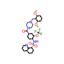 COc1cccc(OC)c1CN1CCN(C(=O)c2ccc(NS(=O)(=O)c3cccc4cccnc34)c(OC(F)(F)F)c2)CC1